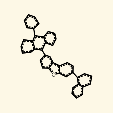 c1ccc(-c2c3ccccc3c(-c3ccc4oc5cc(-c6cccc7ccccc67)ccc5c4c3)c3ccccc23)cc1